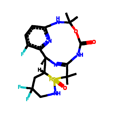 CC1(C)Nc2ccc(F)c(n2)[C@@]2(C)N=C(NC(=O)O1)C(C)(C)[SH]1(=O)NCC(F)(F)C[C@H]21